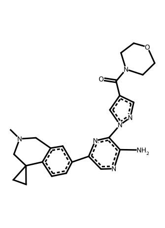 CN1Cc2cc(-c3cnc(N)c(-n4cc(C(=O)N5CCOCC5)cn4)n3)ccc2C2(CC2)C1